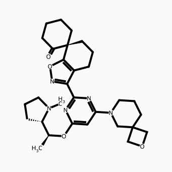 C[C@H](Oc1cc(N2CCCC3(COC3)C2)nc(-c2noc3c2CCC[C@@]32CCCCC2=O)n1)[C@@H]1CCCN1C